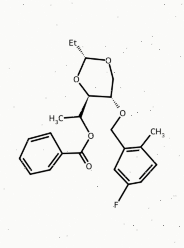 CC[C@@H]1OC[C@H](OCc2cc(F)ccc2C)[C@@H](C(C)OC(=O)c2ccccc2)O1